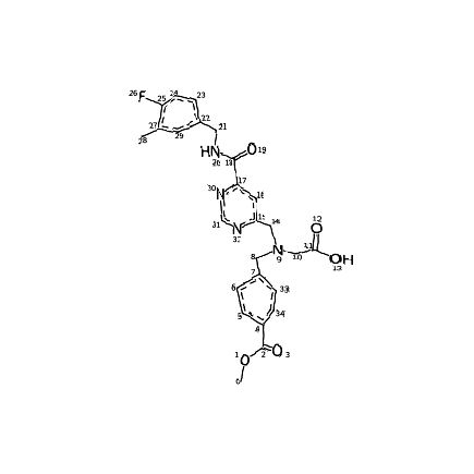 COC(=O)c1ccc(CN(CC(=O)O)Cc2cc(C(=O)NCc3ccc(F)c(C)c3)ncn2)cc1